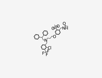 CC(=O)NCc1ccc(OCCCN(Cc2cccc(C(F)(F)F)c2Cl)CC(c2ccccc2)c2ccccc2)cc1S(C)(=O)=O